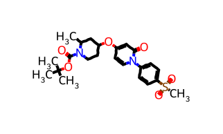 CC1CC(Oc2ccn(-c3ccc(S(C)(=O)=O)cc3)c(=O)c2)CCN1C(=O)OC(C)(C)C